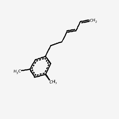 C=CC=CCCc1cc(C)cc(C)c1